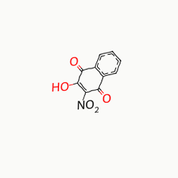 O=C1C(O)=C([N+](=O)[O-])C(=O)c2ccccc21